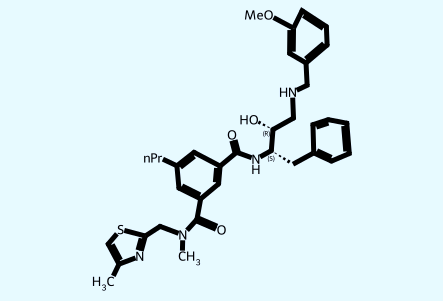 CCCc1cc(C(=O)N[C@@H](Cc2ccccc2)[C@H](O)CNCc2cccc(OC)c2)cc(C(=O)N(C)Cc2nc(C)cs2)c1